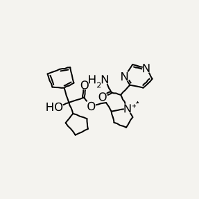 C[N@@+]1(C(C(N)=O)c2ccncn2)CCCC1COC(=O)C(O)(c1ccccc1)C1CCCC1